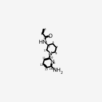 C=CC(=O)N[C@H]1CCCN(c2cccc(N)n2)C1